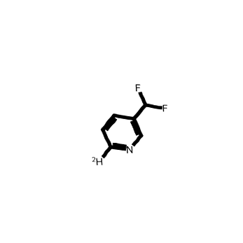 [2H]c1ccc(C(F)F)cn1